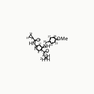 [2H]C([2H])([2H])CC(=O)c1cnc(NC(=O)C2CC2)cc1NCc1ccc(OC)cc1